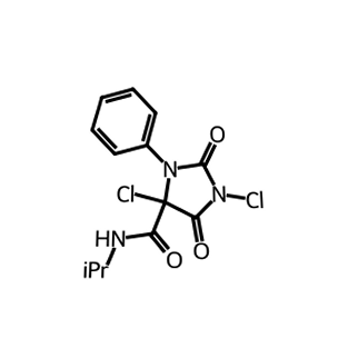 CC(C)NC(=O)C1(Cl)C(=O)N(Cl)C(=O)N1c1ccccc1